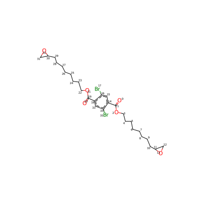 O=C(OCCCCCCCCC1CO1)c1cc(Br)c(C(=O)OCCCCCCCCC2CO2)cc1Br